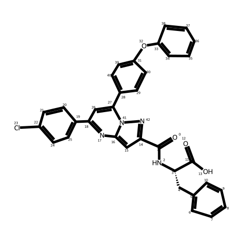 O=C(N[C@@H](Cc1ccccc1)C(=O)O)c1cc2nc(-c3ccc(Cl)cc3)cc(-c3ccc(Oc4ccccc4)cc3)n2n1